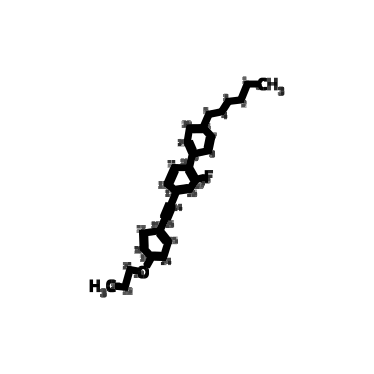 CCCCCCc1ccc(-c2ccc(C#Cc3ccc(OCCC)cc3)cc2F)cc1